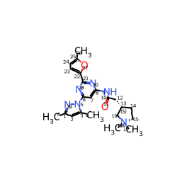 Cc1cc(C)n(-c2cc(NC(=O)C[C@@H]3CC[N+](C)(C)C3)nc(-c3ccc(C)o3)n2)n1